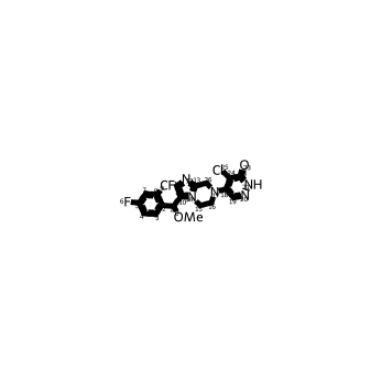 COC(c1ccc(F)cc1C(F)(F)F)c1cnc2n1CCN(c1cn[nH]c(=O)c1Cl)C2